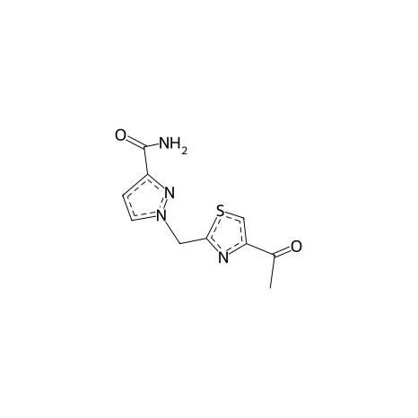 CC(=O)c1csc(Cn2ccc(C(N)=O)n2)n1